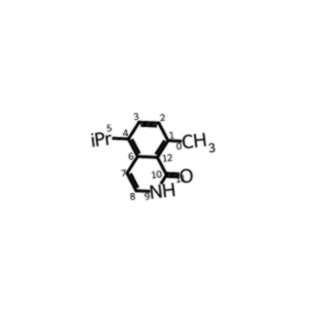 Cc1ccc(C(C)C)c2cc[nH]c(=O)c12